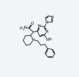 CCCc1cc(C(C(N)=O)C2CCCCN2CCCc2ccccc2)nc(-n2ccnc2)n1